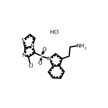 Cl.NCCc1cn(S(=O)(=O)c2c(Cl)nc3sccn23)c2ccccc12